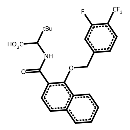 CC(C)(C)C(NC(=O)c1ccc2ccccc2c1OCc1ccc(C(F)(F)F)c(F)c1)C(=O)O